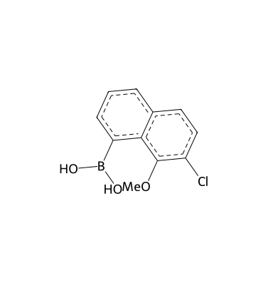 COc1c(Cl)ccc2cccc(B(O)O)c12